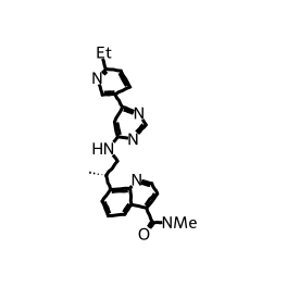 CCc1ccc(-c2cc(NC[C@@H](C)c3cccc4c(C(=O)NC)ccnc34)ncn2)cn1